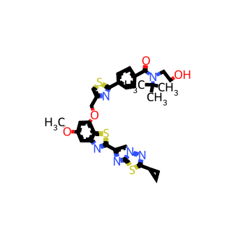 COc1cc(OCc2csc(-c3ccc(C(=O)N(CCO)C(C)(C)C)cc3)n2)c2sc(-c3cn4nc(C5CC5)sc4n3)nc2c1